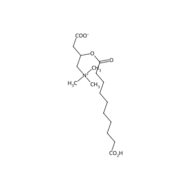 C[N+](C)(C)CC(CC(=O)[O-])OC(=O)CCCCCCCCC(=O)O